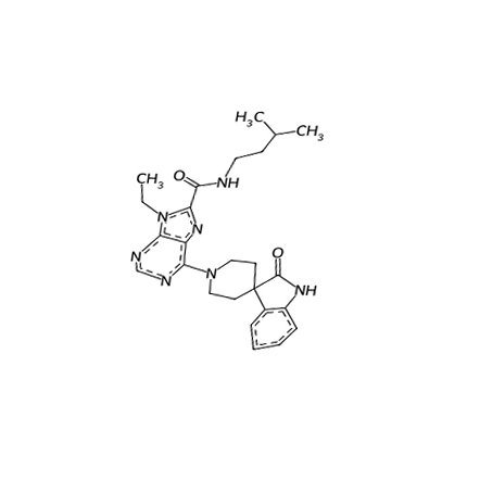 CCn1c(C(=O)NCCC(C)C)nc2c(N3CCC4(CC3)C(=O)Nc3ccccc34)ncnc21